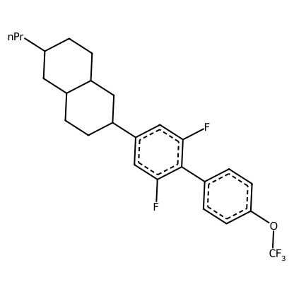 CCCC1CCC2CC(c3cc(F)c(-c4ccc(OC(F)(F)F)cc4)c(F)c3)CCC2C1